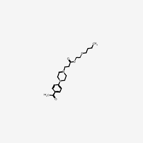 CCCCOCCOC(=O)CCN1CCN(c2ccc(C(C)=O)cc2)CC1